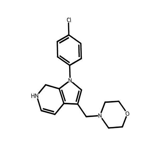 Clc1ccc(-n2cc(CN3CCOCC3)c3c2CNC=C3)cc1